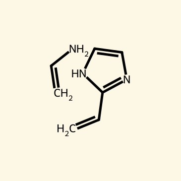 C=CN.C=Cc1ncc[nH]1